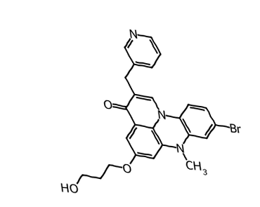 CN1c2cc(Br)ccc2-n2cc(Cc3cccnc3)c(=O)c3cc(OCCCO)cc1c32